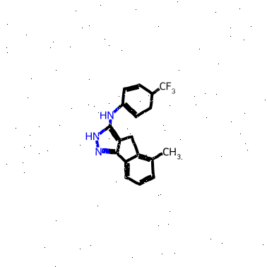 Cc1cccc2c1Cc1c-2n[nH]c1NC1=CCC(C(F)(F)F)C=C1